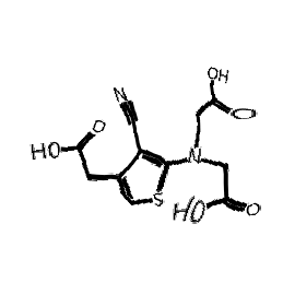 N#Cc1c(CC(=O)O)csc1N(CC(=O)O)CC(=O)O